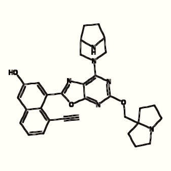 C#Cc1cccc2cc(O)cc(-c3nc4c(N5CC6CCC(C5)N6)nc(OCC56CCCN5CCC6)nc4o3)c12